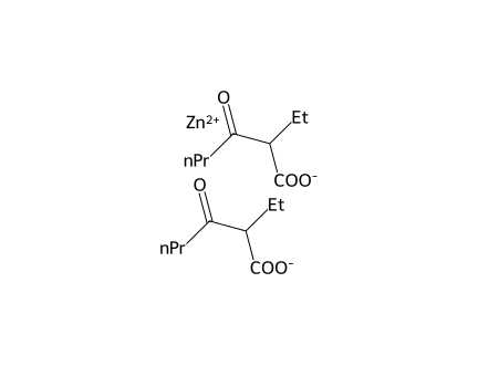 CCCC(=O)C(CC)C(=O)[O-].CCCC(=O)C(CC)C(=O)[O-].[Zn+2]